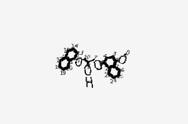 COc1ccc(OCC(O)COc2cccc3ccccc23)c2ccccc12